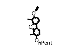 C#COc1ccc2c(oc3c(C)c(OCCCCC)ccc32)c1C